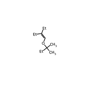 CCC(=COC(C)(C)CC)CC